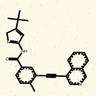 Cc1ccc(C(=O)NC2=NCC(C(C)(C)C)=C2)cc1C#Cc1cncc2ccccc12